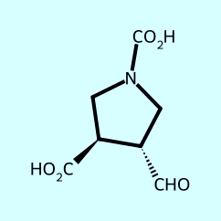 O=C[C@H]1CN(C(=O)O)C[C@@H]1C(=O)O